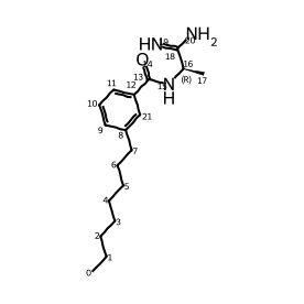 CCCCCCCCc1cccc(C(=O)N[C@H](C)C(=N)N)c1